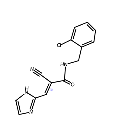 N#C/C(=C\c1ncc[nH]1)C(=O)NCc1ccccc1Cl